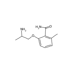 Cc1cccc(OCC(C)N)c1C(N)=O